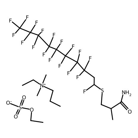 CC(CSC(F)CC(F)(F)C(F)(F)C(F)(F)C(F)(F)C(F)(F)C(F)(F)C(F)(F)C(F)(F)F)C(N)=O.CCC[N+](C)(C)CC.CCOS(=O)(=O)[O-]